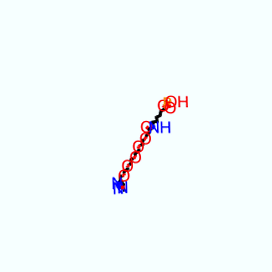 Cn1cc(COCCOCCOCCOCCOCCC(=O)NCCCCCCOP(C)(=O)O)nn1